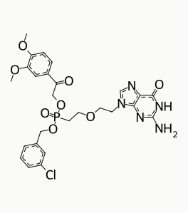 COc1ccc(C(=O)COP(=O)(CCOCCn2cnc3c(=O)[nH]c(N)nc32)OCc2cccc(Cl)c2)cc1OC